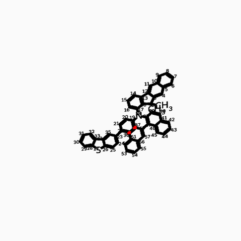 CC1(C)c2cc3ccccc3cc2-c2cccc(N(c3ccc(-c4ccc5sc6ccccc6c5c4)cc3)c3ccc4ccccc4c3-c3ccc4ccccc4c3)c21